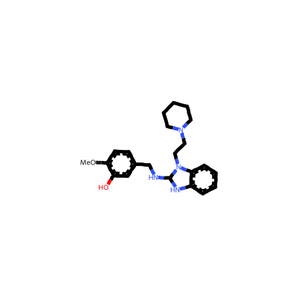 COc1ccc(CNC2Nc3ccccc3N2CCN2CCCCC2)cc1O